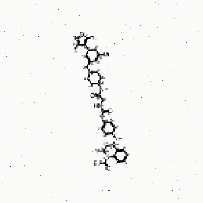 CCC(=O)N1c2ccccc2[C@H](Nc2ccc(NC(=O)NCC(=O)NC3CCN(Cc4cc(O)cc(-c5c(C)noc5C)c4)CC3)cc2)C[C@@H]1C